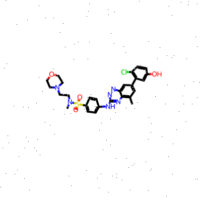 Cc1cc(-c2cc(O)ccc2Cl)cc2nnc(Nc3ccc(S(=O)(=O)N(C)CCN4CCOCC4)cc3)nc12